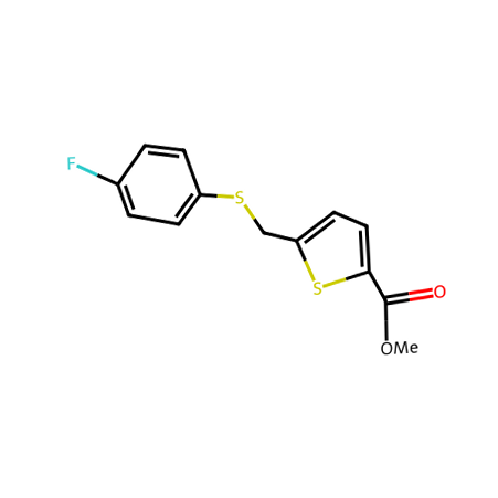 COC(=O)c1ccc(CSc2ccc(F)cc2)s1